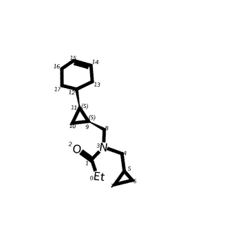 CCC(=O)N(CC1CC1)C[C@H]1C[C@H]1C1CC=CCC1